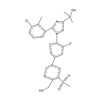 Cc1c(Cl)cccc1-c1nc(C(C)(C)O)cn1-c1ccc(-c2ccc(CO)c(S(C)(=O)=O)c2)cc1F